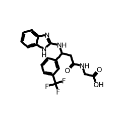 O=C(O)CNC(=O)CC(Nc1nc2ccccc2[nH]1)c1cccc(C(F)(F)F)c1